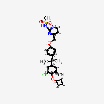 CC(C)(c1ccc(OCc2ccnc(NS(C)(=O)=O)n2)cc1)c1cc(Cl)c(OC2CCC2)c(C#N)c1